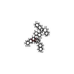 c1ccc(-c2cccc3c(-n4c5c(c6cc7ccccc7cc64)CCc4ccccc4-5)ccc(-c4nc(-c5ccc6ccccc6c5)nc(-c5ccc6ccccc6c5)n4)c23)cc1